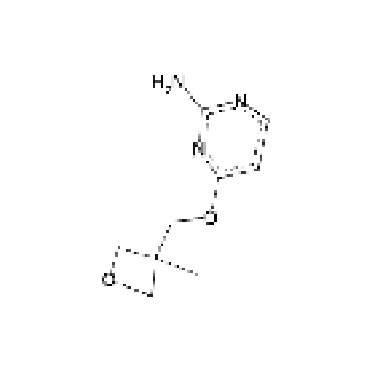 CC1(COc2ccnc(N)n2)COC1